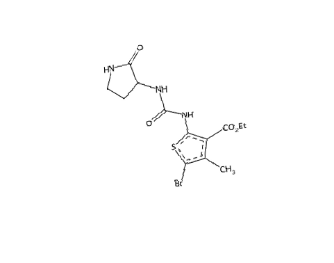 CCOC(=O)c1c(NC(=O)NC2CCNC2=O)sc(Br)c1C